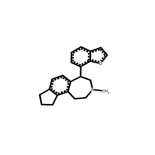 CN1CCc2c(ccc3c2CCC3)C(c2cccc3ccoc23)C1